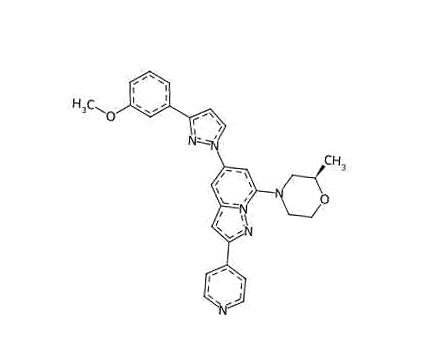 COc1cccc(-c2ccn(-c3cc(N4CCO[C@H](C)C4)n4nc(-c5ccncc5)cc4c3)n2)c1